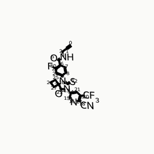 C#CCNC(=O)c1ccc(N2C(=S)N(c3cnc(C#N)c(C(F)(F)F)c3)C(=O)C23CCC3)cc1F